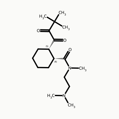 CN(C)CCN(C)C(=O)[C@@H]1CCCC[C@@H]1C(=O)C(=O)C(C)(C)C